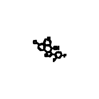 OC(c1cccnc1)c1c(-c2ccc(F)cc2F)coc1-c1ccc(Cl)cc1